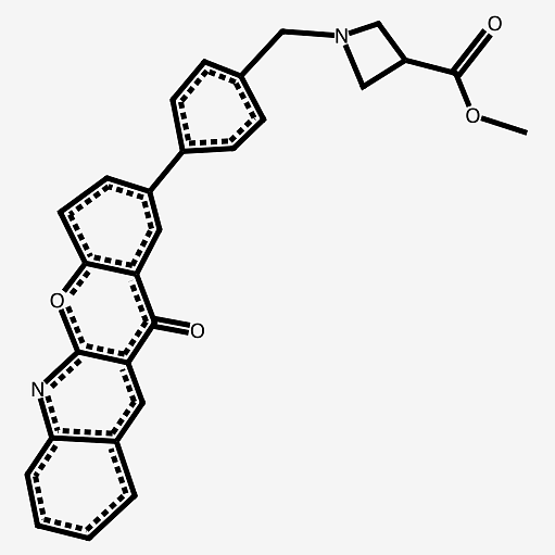 COC(=O)C1CN(Cc2ccc(-c3ccc4oc5nc6ccccc6cc5c(=O)c4c3)cc2)C1